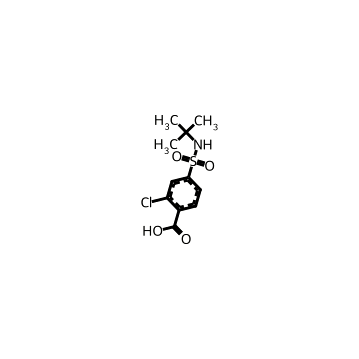 CC(C)(C)NS(=O)(=O)c1ccc(C(=O)O)c(Cl)c1